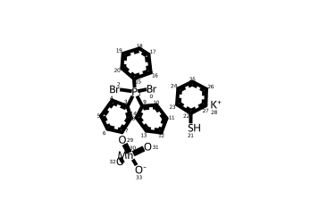 BrP(Br)(c1ccccc1)(c1ccccc1)c1ccccc1.Sc1ccccc1.[K+].[O]=[Mn](=[O])(=[O])[O-]